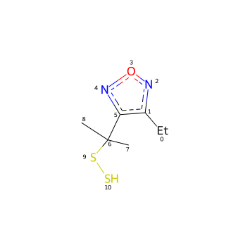 CCc1nonc1C(C)(C)SS